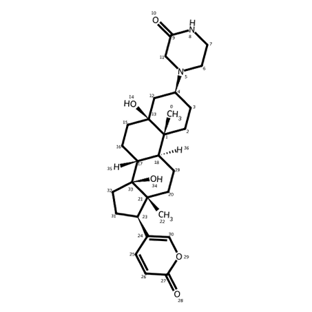 C[C@]12CC[C@H](N3CCNC(=O)C3)C[C@@]1(O)CC[C@@H]1[C@@H]2CC[C@]2(C)[C@@H](c3ccc(=O)oc3)CC[C@]12O